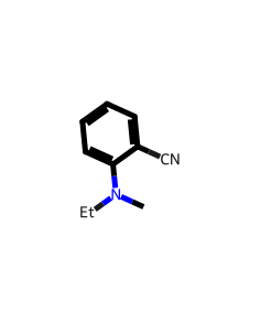 CCN(C)c1ccccc1C#N